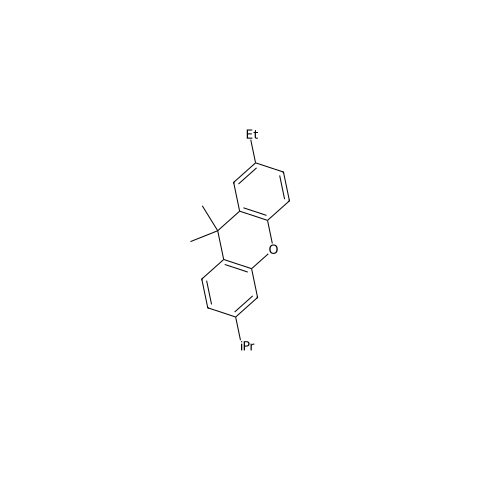 CCc1ccc2c(c1)C(C)(C)c1ccc(C(C)C)cc1O2